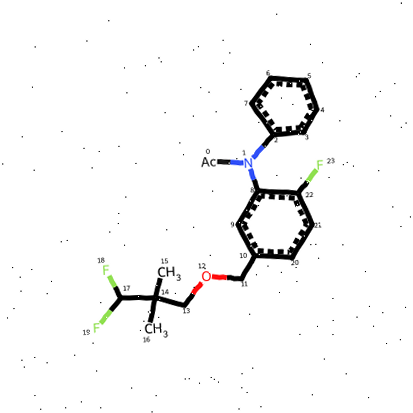 CC(=O)N(c1ccccc1)c1cc(COCC(C)(C)C(F)F)ccc1F